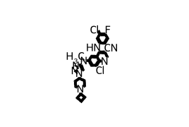 CN(c1cc(Cl)c2ncc(C#N)c(Nc3ccc(F)c(Cl)c3)c2c1)c1cn(C2CCN(C3CCC3)CC2)nn1